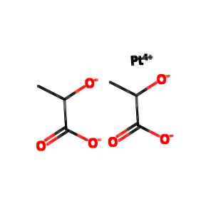 CC([O-])C(=O)[O-].CC([O-])C(=O)[O-].[Pt+4]